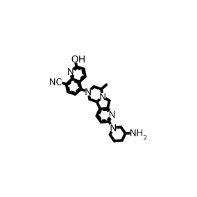 CC1CN(c2ccc(C#N)c3nc(O)ccc23)CC2c3ccc(N4CCCC(N)C4)nc3CN12